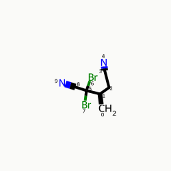 C=C(CC#N)C(Br)(Br)C#N